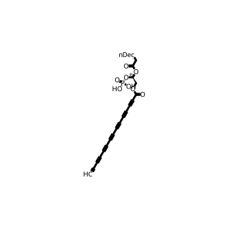 C#CC#CC#CC#CC#CC#CC#CC(=O)OC[C@H](OC(=O)CCCCCCCCCCC)OP(=O)(O)O